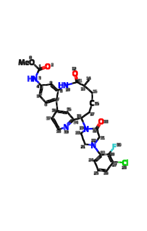 COC(=O)Nc1ccc2c(c1)NC(=O)C(C)CCCC(N1CCN(c3cccc(Cl)c3F)CC1=O)c1cc-2ccn1